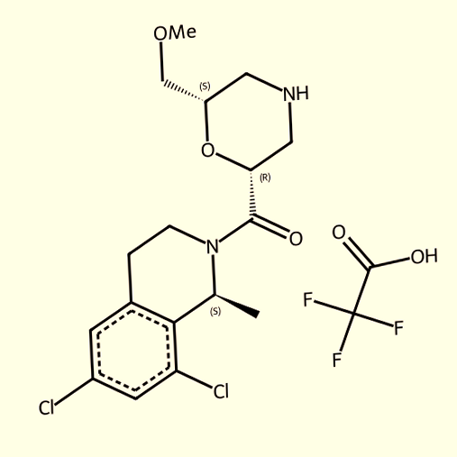 COC[C@@H]1CNC[C@H](C(=O)N2CCc3cc(Cl)cc(Cl)c3[C@@H]2C)O1.O=C(O)C(F)(F)F